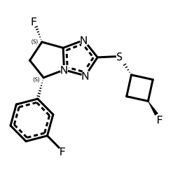 Fc1cccc([C@@H]2C[C@H](F)c3nc(S[C@H]4C[C@H](F)C4)nn32)c1